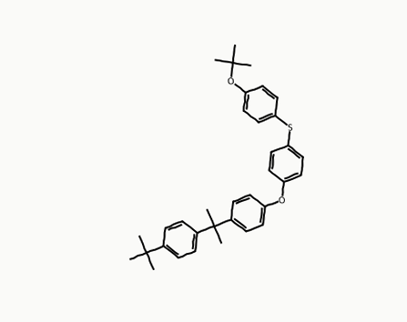 CC(C)(C)Oc1ccc(Sc2ccc(Oc3ccc(C(C)(C)c4ccc(C(C)(C)C)cc4)cc3)cc2)cc1